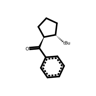 CC(C)(C)[C@H]1CCC[C@@H]1C(=O)c1ccccc1